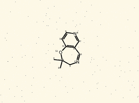 CC1(C)CN=Cc2cnccc2O1